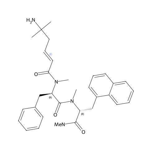 CNC(=O)[C@@H](Cc1cccc2ccccc12)N(C)C(=O)[C@@H](Cc1ccccc1)N(C)C(=O)/C=C/CC(C)(C)N